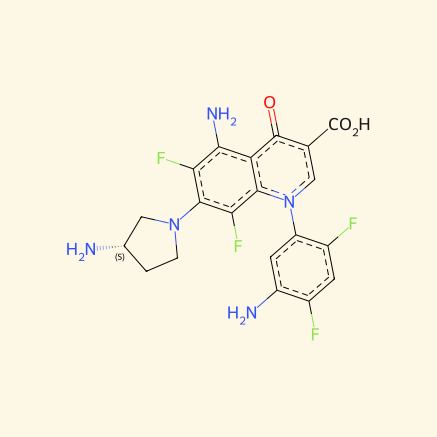 Nc1cc(-n2cc(C(=O)O)c(=O)c3c(N)c(F)c(N4CC[C@H](N)C4)c(F)c32)c(F)cc1F